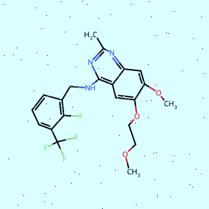 COCCOc1cc2c(NCc3cccc(C(F)(F)F)c3F)nc(C)nc2cc1OC